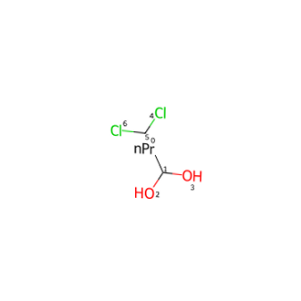 CCCC(O)O.ClCCl